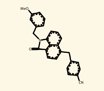 COc1cccc(CN2C(=O)c3ccc(Cc4ccc(C#N)cc4)c4cccc2c34)c1